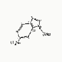 CCC(C)n1ccc2ccc(N)cc21